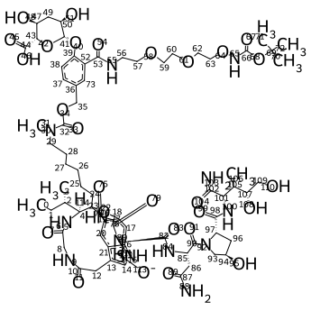 CC[C@H](C)[C@@H]1NC(=O)CNC(=O)Cc2c3[nH]c4cc(ccc24)OC1(CCCCCCN(C)C(=O)OCc1ccc(O[C@@H]2O[C@H](C(=O)O)[C@@H](O)C[C@H]2O)c(C(=O)NCCOCCOCCONC(=O)OC(C)(C)C)c1)C(=O)NCC(=O)N[C@H](C(=O)N[C@@H](CC(N)=O)C(=O)N1C[C@H](O)C[C@H]1C(=O)N[C@H](C(N)=O)[C@@H](C)[C@@H](O)CO)C[S+]3[O-]